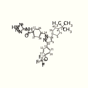 CC(C)(C)C1CCC(c2cc(-c3ccc(OC(F)(F)F)cc3)nn2Cc2ccc(C(=O)Nc3nn[nH]n3)cc2)CC1